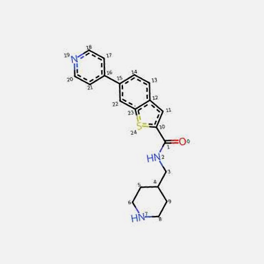 O=C(NCC1CCNCC1)c1cc2ccc(-c3ccncc3)cc2s1